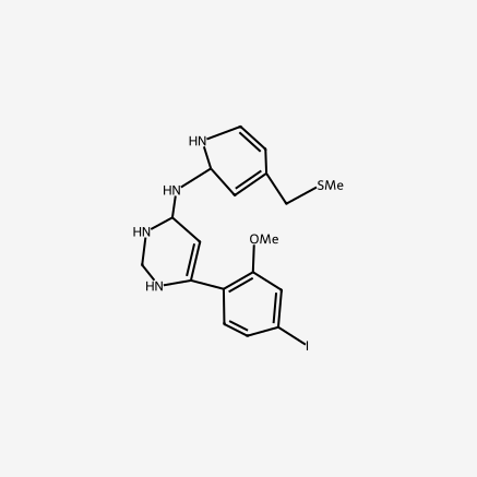 COc1cc(I)ccc1C1=CC(NC2C=C(CSC)C=CN2)NCN1